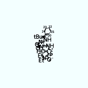 CCN(CC)[S+]([O-])c1scc(NC2=NS(=O)(=O)N=C2N[C@@H](c2ccccc2)C(C)(C)C)c1O